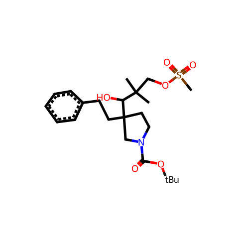 CC(C)(C)OC(=O)N1CCC(CCc2ccccc2)(C(O)C(C)(C)COS(C)(=O)=O)C1